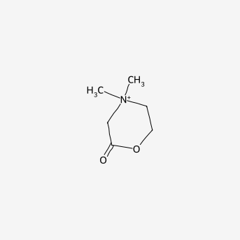 C[N+]1(C)CCOC(=O)C1